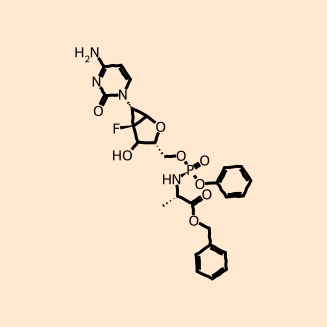 C[C@H](N[P@](=O)(OC[C@H]1OC2[C@@H](n3ccc(N)nc3=O)[C@@]2(F)C1O)Oc1ccccc1)C(=O)OCc1ccccc1